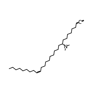 C=C=CCCCCCCC(CCCCCCCCC/C=C\CCCCCCCC)N(C)C